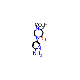 Nc1ccc(N2CCN(C(=O)O)CCC2=O)cn1